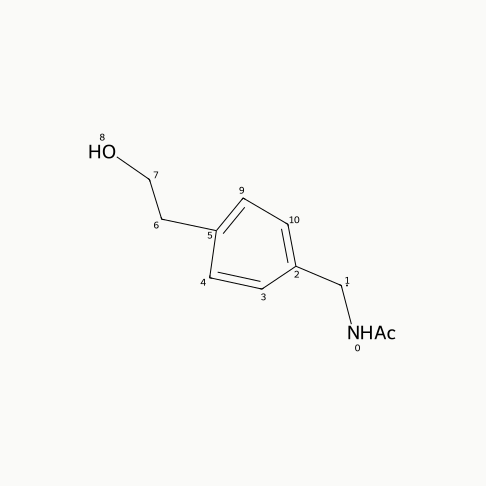 CC(=O)N[CH]c1ccc(CCO)cc1